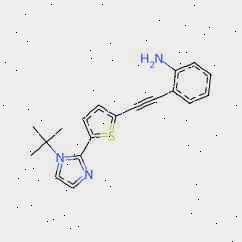 CC(C)(C)n1ccnc1-c1ccc(C#Cc2ccccc2N)s1